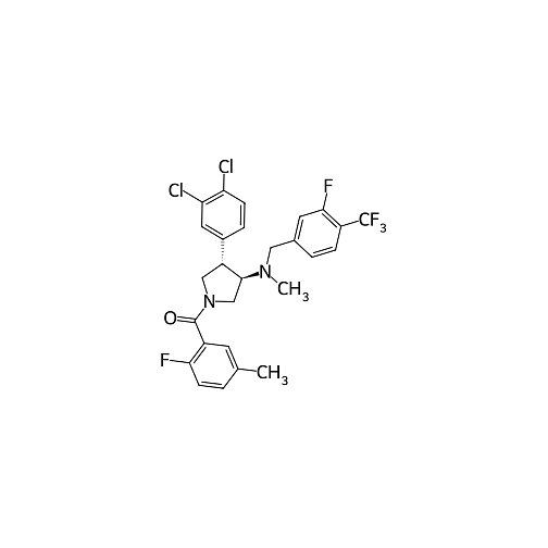 Cc1ccc(F)c(C(=O)N2C[C@H](c3ccc(Cl)c(Cl)c3)[C@@H](N(C)Cc3ccc(C(F)(F)F)c(F)c3)C2)c1